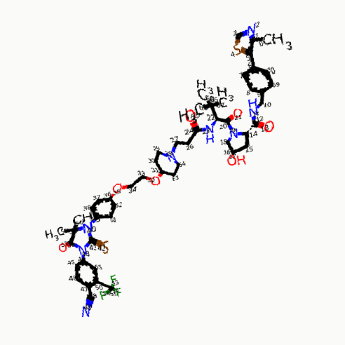 Cc1ncsc1-c1ccc(CNC(=O)[C@@H]2C[C@@H](O)CN2C(=O)[C@@H](NC(=O)CCN2CCC(OCCOc3ccc(N4C(=S)N(c5ccc(C#N)c(C(F)(F)F)c5)C(=O)C4(C)C)cc3)CC2)C(C)(C)C)cc1